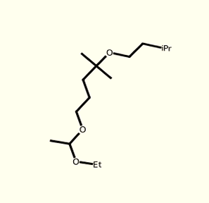 CCOC(C)OCCCC(C)(C)OCCC(C)C